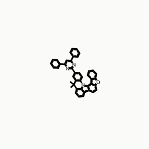 CC1(C)c2cc(-c3nc(-c4ccccc4)cc(-c4ccccc4)n3)ccc2-n2c3c1cccc3c1ccc3oc4ccccc4c3c12